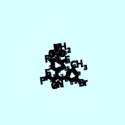 Cc1cc(Br)cc(-c2noc(C(F)F)c2-c2cc(F)c(S(N)(=O)=O)c(F)c2)c1